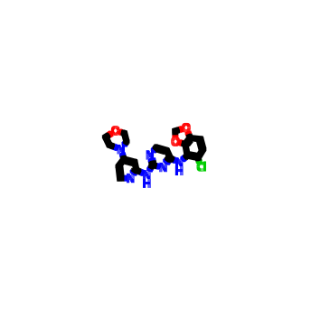 Clc1ccc2c(c1Nc1ccnc(Nc3cc(N4CCOCC4)ccn3)n1)OCO2